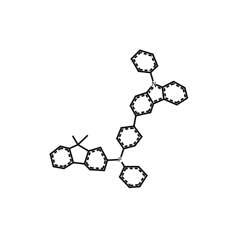 CC1(C)c2ccccc2-c2ccc(P(c3ccccc3)c3ccc(-c4ccc5c(c4)c4ccccc4n5-c4ccccc4)cc3)cc21